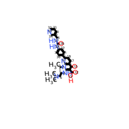 CCn1c(NCCN(C)C)c(C(=O)O)c(=O)c2ccc(-c3ccc(NC(=O)NCc4cccnc4)cc3)nc21